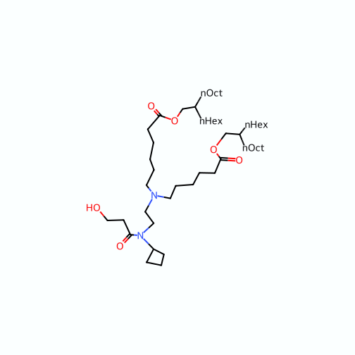 CCCCCCCCC(CCCCCC)COC(=O)CCCCCN(CCCCCC(=O)OCC(CCCCCC)CCCCCCCC)CCN(C(=O)CCO)C1CCC1